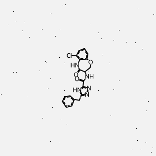 O=C(NC1COc2cccc(Cl)c2NC1=O)c1nnc(Cc2ccccc2)[nH]1